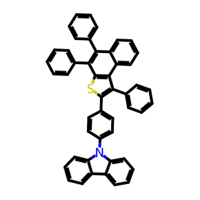 c1ccc(-c2c(-c3ccccc3)c3sc(-c4ccc(-n5c6ccccc6c6ccccc65)cc4)c(-c4ccccc4)c3c3ccccc23)cc1